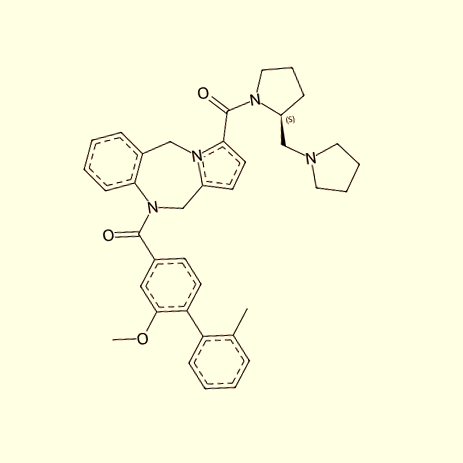 COc1cc(C(=O)N2Cc3ccc(C(=O)N4CCC[C@H]4CN4CCCC4)n3Cc3ccccc32)ccc1-c1ccccc1C